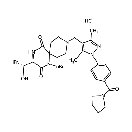 CCCCN1C(=O)[C@@H]([C@H](O)C(C)C)NC(=O)C12CCN(Cc1c(C)nn(-c3ccc(C(=O)N4CCCC4)cc3)c1C)CC2.Cl